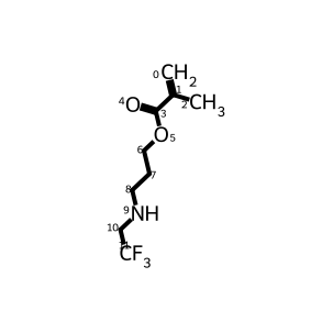 C=C(C)C(=O)OCCCNCC(F)(F)F